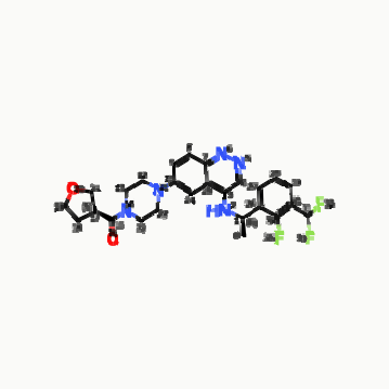 C[C@@H](Nc1cnnc2ccc(N3CCN(C(=O)[C@H]4CCOC4)CC3)cc12)c1cccc(C(F)F)c1F